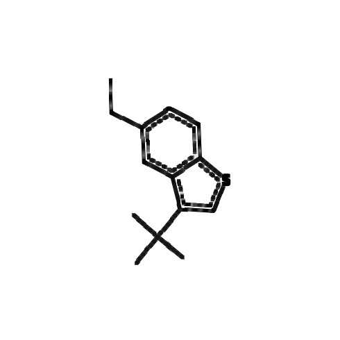 CCc1ccc2scc(C(C)(C)C)c2c1